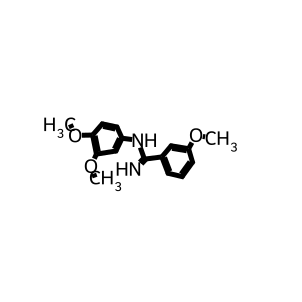 COc1cccc(C(=N)Nc2ccc(OC)c(OC)c2)c1